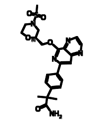 CC(C)(C(N)=O)c1ccc(-c2cc3nccnc3c(OC[C@@H]3CN(S(C)(=O)=O)CCO3)n2)cc1